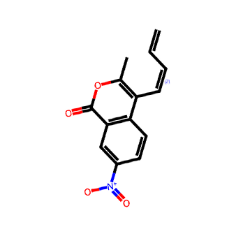 C=C/C=C\c1c(C)oc(=O)c2cc([N+](=O)[O-])ccc12